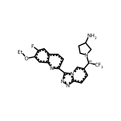 CCOc1cc2nc(-c3nnc4ccc([C@@H](N5CCC(N)C5)C(F)(F)F)cn34)ccc2cc1F